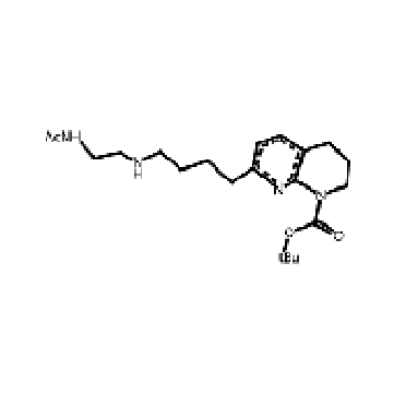 CC(=O)NCCNCCCCc1ccc2c(n1)N(C(=O)OC(C)(C)C)CCC2